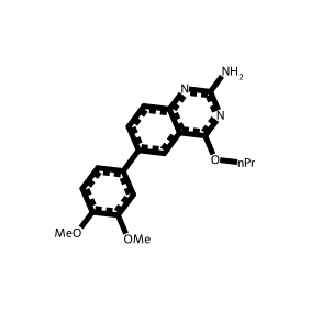 CCCOc1nc(N)nc2ccc(-c3ccc(OC)c(OC)c3)cc12